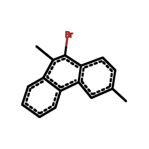 Cc1ccc2c(Br)c(C)c3ccccc3c2c1